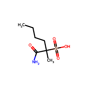 CCCCC(C)(C(N)=O)S(=O)(=O)O